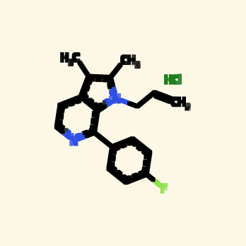 C=CCn1c(C)c(C)c2ccnc(-c3ccc(F)cc3)c21.Cl